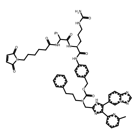 Cc1cccc(-c2nc(CN(CCCc3ccccc3)C(=O)OCc3ccc(NC(=O)[C@H](CCCNC(N)=O)NC(=O)C(NC(=O)CCCCCN4C(=O)C=CC4=O)C(C)C)cc3)[nH]c2-c2ccc3ncnn3c2)n1